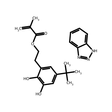 C=C(C)C(=O)OCCc1cc(C(C)(C)C)cc(O)c1O.c1ccc2[nH]nnc2c1